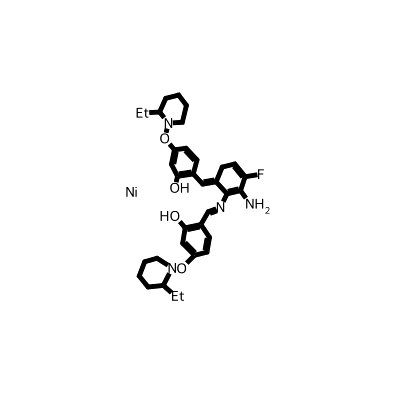 CCC1CCCCN1Oc1ccc(C=NC2=C(N)C(F)=CCC2=Cc2ccc(ON3CCCCC3CC)cc2O)c(O)c1.[Ni]